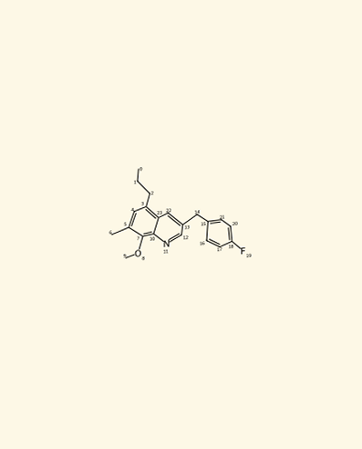 CCCc1cc(C)c(OC)c2ncc(Cc3ccc(F)cc3)cc12